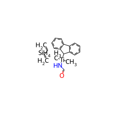 C=CC=C.[CH3][Ti]([CH3])([NH]C=O)[CH]1c2ccccc2-c2ccccc21.[SiH4]